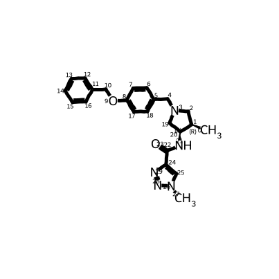 C[C@@H]1CN(Cc2ccc(OCc3ccccc3)cc2)C[C@@H]1NC(=O)c1cn(C)nn1